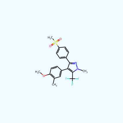 COc1ccc(-c2c(-c3ccc(S(C)(=O)=O)cc3)nn(C)c2C(F)(F)F)cc1C